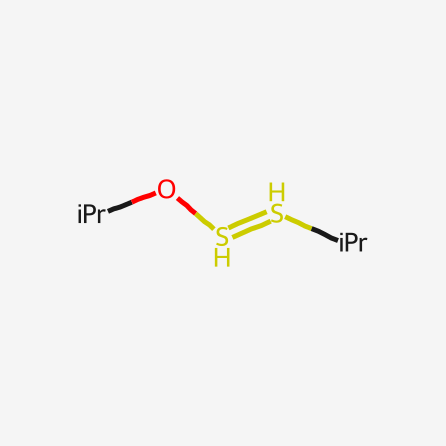 CC(C)O[SH]=[SH]C(C)C